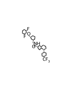 O=C(NCc1cccc(COc2c(F)cccc2F)c1)c1ccc2c(-c3ccc(C(F)(F)F)cc3)cccc2c1